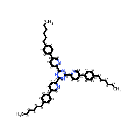 CCCCCCc1ccc(-c2ccc(-c3nc(-c4ccc(-c5ccc(CCCCCC)cc5)cn4)nc(-c4ccc(-c5ccc(CCCCCC)cc5)cn4)n3)nc2)cc1